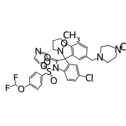 COc1ccc(CN2CCN(C)CC2)cc1C1(N2CCC[C@H]2c2ncco2)C(=O)N(S(=O)(=O)c2ccc(OC(F)F)cc2)c2ccc(Cl)cc21